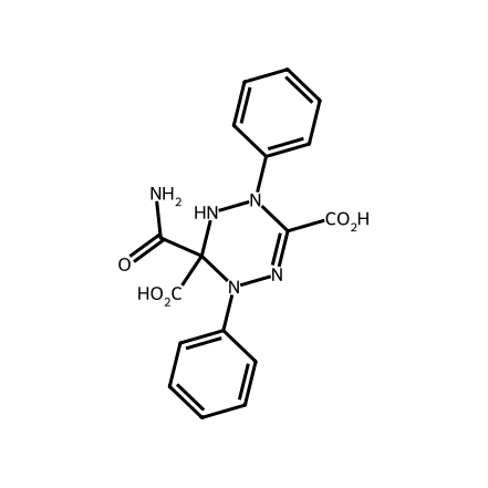 NC(=O)C1(C(=O)O)NN(c2ccccc2)C(C(=O)O)=NN1c1ccccc1